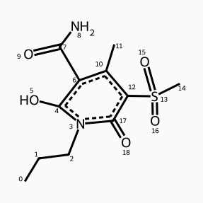 CCCn1c(O)c(C(N)=O)c(C)c(S(C)(=O)=O)c1=O